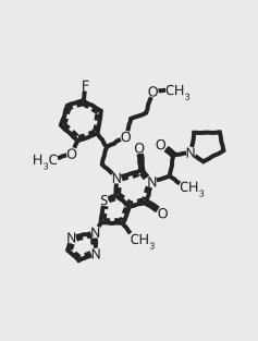 COCCOC(Cn1c(=O)n(C(C)C(=O)N2CCCC2)c(=O)c2c(C)c(-n3nccn3)sc21)c1cc(F)ccc1OC